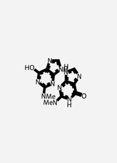 CNc1nc(O)c2nc[nH]c2n1.CNc1nc2[nH]cnc2c(=O)[nH]1